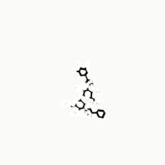 OCC1O[C@@H](SC2O[C@H](CO)C(O)C(n3cc(-c4ccccc4)nn3)[C@H]2O)[C@@H](O)C(n2cc(-c3cc(F)c(F)c(F)c3)nn2)[C@H]1O